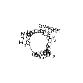 CCCOC1CCC(CC(C)C2CC(=O)C(C)/C=C(/C)C(O)C(OC)C(=O)C(C)CC(C)/C=C/C=C/C=C(/C)C(OC)CC3CCC(C)C(O)(O3)C(=O)C(=O)N3CCCCC3C(=O)O2)CC1OC